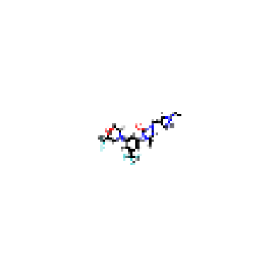 CCn1cc(Cn2cc(C)n(-c3cc(N4CCOC(C(F)F)C4)cc(C(F)(F)F)c3)c2=O)cn1